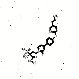 CCCc1cnc(Oc2ccc(-c3ccn(CC[C@](C)(C(=O)NO)S(C)(=O)=O)c(=O)c3)cc2)nc1